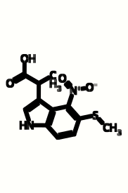 CSc1ccc2[nH]cc(C(C)C(=O)O)c2c1[N+](=O)[O-]